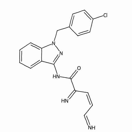 N=C/C=C\C(=N)C(=O)Nc1nn(Cc2ccc(Cl)cc2)c2ccccc12